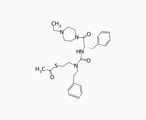 CCN1CCN(C(=O)[C@H](Cc2ccccc2)NC(=O)N(CCSC(C)=O)CCc2ccccc2)CC1